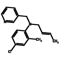 C/C=C/CN(Cc1cccnc1)c1ccc(Cl)cc1C